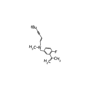 C=C(C)c1cc(CN(C)CC=CC#CC(C)(C)C)ccc1F